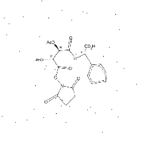 CC(=O)O[C@@H](C(=O)O[C@H](C(=O)O)c1ccccc1)[C@@H](OC(C)=O)C(=O)ON1C(=O)CCC1=O